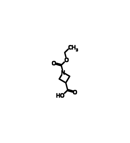 CCOC(=O)N1CC(C(=O)O)C1